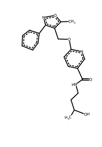 Cc1onc(-c2ccccc2)c1COc1ccc(C(=O)NCCC(C)O)cn1